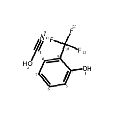 N#CO.Oc1ccccc1C(F)(F)F